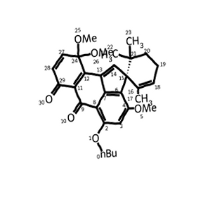 CCCCOc1cc(OC)c2c3c1C(=O)C1=C(C3=C[C@@]23C(C)=CCCC3(C)C)C(OC)(OC)C=CC1=O